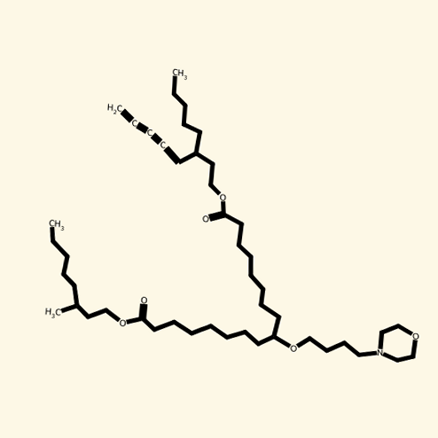 C=C=C=C=CC(CCCCC)CCOC(=O)CCCCCCCC(CCCCCCCC(=O)OCCC(C)CCCCC)OCCCCN1CCOCC1